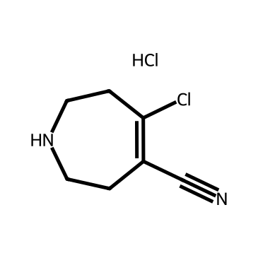 Cl.N#CC1=C(Cl)CCNCC1